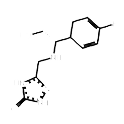 O=c1[nH]nc(CN[C@H](CO)C2C=CC(F)=CC2)[nH]1